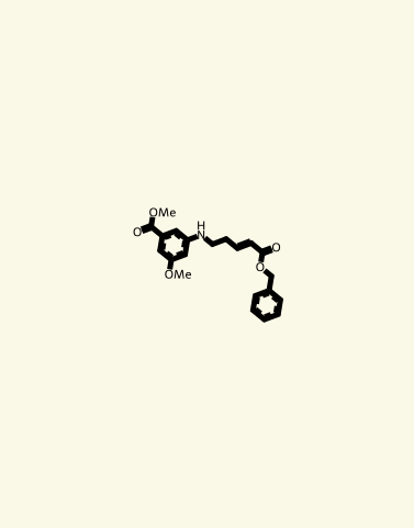 COC(=O)c1cc(NCCC=CC(=O)OCc2ccccc2)cc(OC)c1